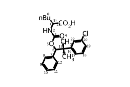 CCCC[C@H](NC(=O)OC(c1ccccc1)C(C)(C)c1cccc(Cl)c1)C(=O)O